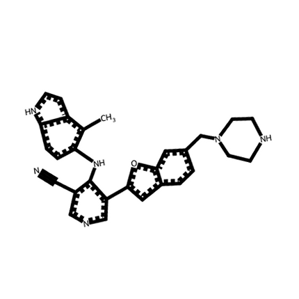 Cc1c(Nc2c(C#N)cncc2-c2cc3ccc(CN4CCNCC4)cc3o2)ccc2[nH]ccc12